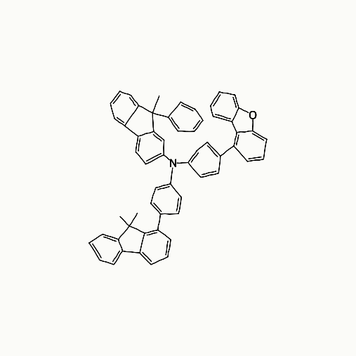 CC1(C)c2ccccc2-c2cccc(-c3ccc(N(c4ccc(-c5cccc6oc7ccccc7c56)cc4)c4ccc5c(c4)C(C)(c4ccccc4)c4ccccc4-5)cc3)c21